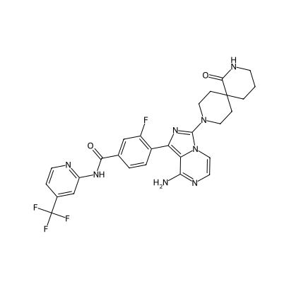 Nc1nccn2c(N3CCC4(CCCNC4=O)CC3)nc(-c3ccc(C(=O)Nc4cc(C(F)(F)F)ccn4)cc3F)c12